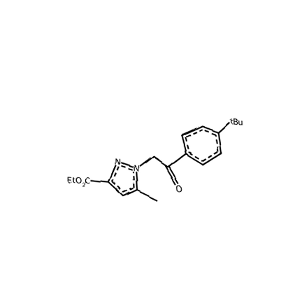 CCOC(=O)c1cc(C)n(CC(=O)c2ccc(C(C)(C)C)cc2)n1